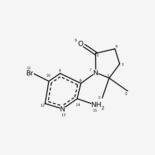 CC1(C)CCC(=O)N1c1cc(Br)cnc1N